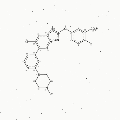 Cc1ccc(Oc2nc3nc(-c4ccnc(N5CCN(C)CC5)c4)c(Cl)cc3[nH]2)cc1C(=O)O